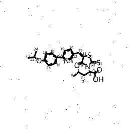 CC[C@@H](C)[C@@H](C(=O)O)N1C(=O)/C(=C\c2ccc(-c3ccc(OC(C)C)cc3)nc2)SC1=S